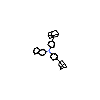 c1ccc2cc(N(c3ccc(C45CC6CC(CC(C6)C4)C5)cc3)c3ccc(C45CC6CC7CC(C6)(C4)C75)cc3)ccc2c1